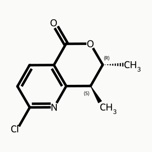 C[C@H]1OC(=O)c2ccc(Cl)nc2[C@@H]1C